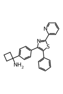 NC1(c2ccc(-c3nc(-c4ccccn4)sc3-c3ccccc3)cc2)CCC1